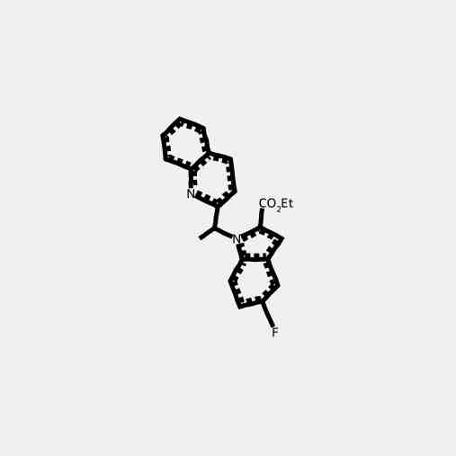 CCOC(=O)c1cc2cc(F)ccc2n1C(C)c1ccc2ccccc2n1